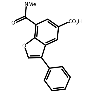 CNC(=O)c1cc(C(=O)O)cc2c(-c3ccccc3)coc12